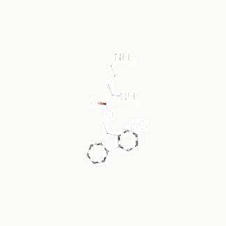 Cl.NCCCC(N)C(=O)OCC1c2ccccc2-c2ccccc21